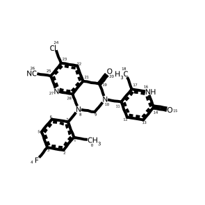 Cc1cc(F)ccc1N1CN(c2ccc(=O)[nH]c2C)C(=O)c2cc(Cl)c(C#N)nc21